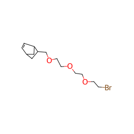 BrCCOCCOCCOCC1CC2C=CC1C2